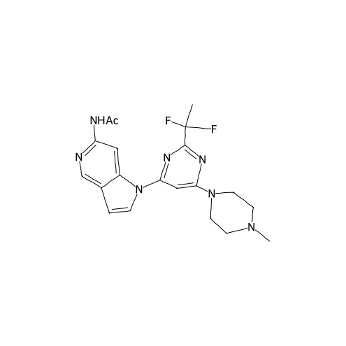 CC(=O)Nc1cc2c(ccn2-c2cc(N3CCN(C)CC3)nc(C(C)(F)F)n2)cn1